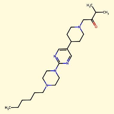 CCCCCCN1CCN(c2ncc(C3CCN(CC(=O)C(C)C)CC3)cn2)CC1